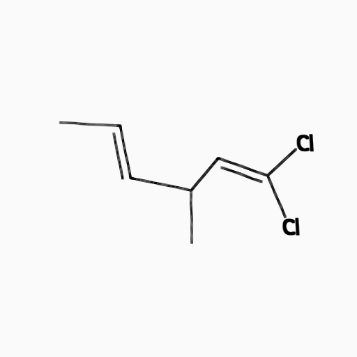 C/C=C/C(C)C=C(Cl)Cl